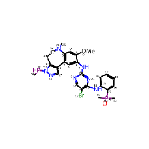 COc1cc2c(cc1Nc1ncc(Br)c(Nc3ccccc3P(C)(C)=O)n1)-c1cnn(PC)c1CCN2C